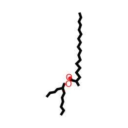 CCCCCCCCCCCCCCCCC(C)C(=O)OCC(CCCC)CCCCCC